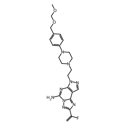 C=C(F)c1nc2c3cnn(CCN4CCN(c5ccc(COCOC)cc5)CC4)c3nc(N)n2n1